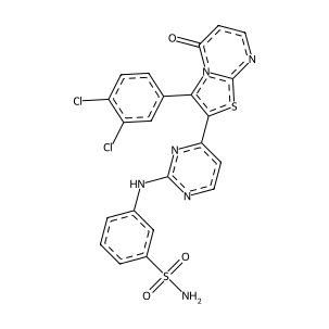 NS(=O)(=O)c1cccc(Nc2nccc(-c3sc4nccc(=O)n4c3-c3ccc(Cl)c(Cl)c3)n2)c1